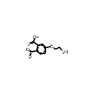 O=C(O)c1cc(OCCO)ccc1I(=O)=O